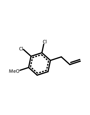 C=CCc1ccc(OC)c(Cl)c1Cl